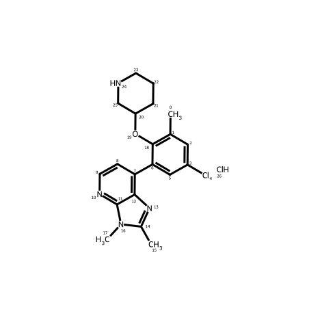 Cc1cc(Cl)cc(-c2ccnc3c2nc(C)n3C)c1OC1CCCNC1.Cl